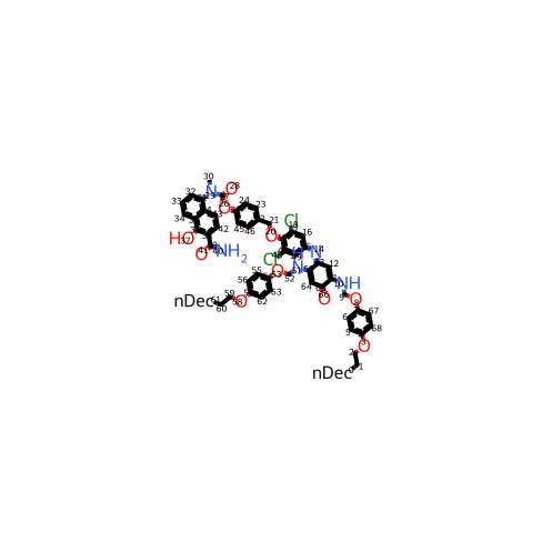 CCCCCCCCCCCCOc1ccc(OCNC2=CC(=Nc3cc(Cl)c(OCc4ccc(OC(=O)N(C)c5cccc6c(O)c(C(N)=O)ccc56)cc4)c(Cl)c3)C(NCOc3ccc(OCCCCCCCCCCCC)cc3)=CC2=O)cc1